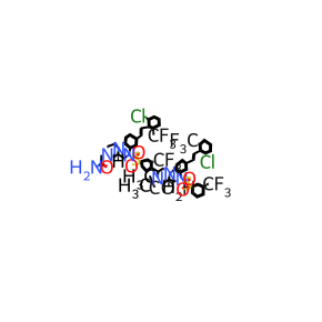 CC(C)(C(=O)O)N1C[C@H]2CN(S(=O)(=O)c3cccc(C(F)(F)F)c3)c3cc(/C=C/c4c(Cl)cccc4C(F)(F)F)ccc3N2CC1c1ccc(S(=O)(=O)N2C[C@@H]3CN(CC(N)=O)CCN3c3ccc(/C=C/c4c(Cl)cccc4C(F)(F)F)cc32)cc1C(F)(F)F